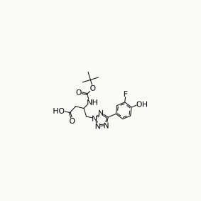 CC(C)(C)OC(=O)NC(CC(=O)O)Cn1nnc(-c2ccc(O)c(F)c2)n1